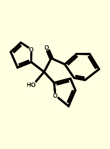 O=C(c1ccccc1)C(O)(c1ccco1)c1ccco1